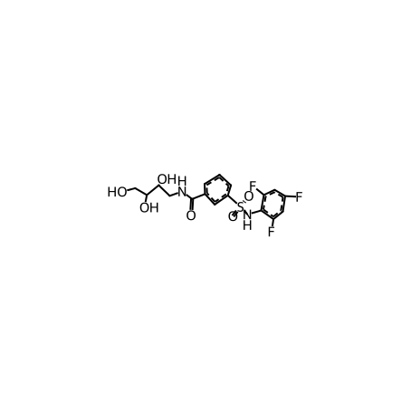 O=C(NCC(O)C(O)CO)c1cccc(S(=O)(=O)Nc2c(F)cc(F)cc2F)c1